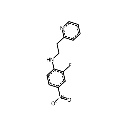 O=[N+]([O-])c1ccc(NCCc2ccccn2)c(F)c1